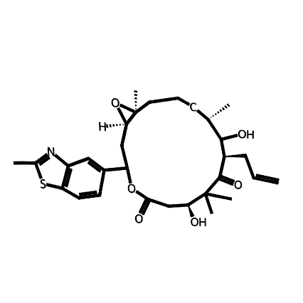 C=CC[C@H]1C(=O)C(C)(C)[C@@H](O)CC(=O)OC(c2ccc3sc(C)nc3c2)C[C@H]2O[C@@]2(C)CCC[C@H](C)C1O